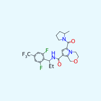 CCC(NC(=O)c1cc(C(=O)N2CCCC2C)n2c1COCC2)c1c(F)cc(C(F)(F)F)cc1F